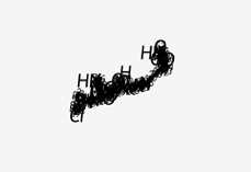 CC1(C)CCC(CN2CCN(c3ccc(C(=O)NS(=O)(=O)c4ccc(NC[C@H]5CC[C@@H](N6CCN(CCCCCCc7cccc8c7CN(C7CCC(=O)NC7=O)C8=O)CC6)CC5)c([N+](=O)[O-])c4)c(Oc4cnc5[nH]ccc5c4)c3)CC2)=C(c2ccc(Cl)cc2)C1